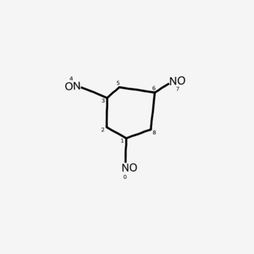 O=NC1CC(N=O)CC(N=O)C1